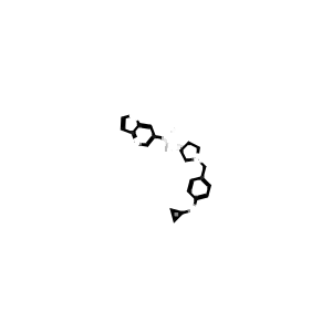 [O-][S@+](N[C@@H]1CCN(Cc2ccc(OC3CC3)cc2)C1)c1cnc2ccsc2c1